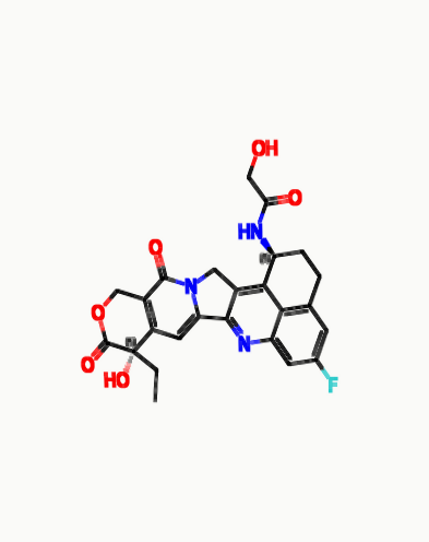 CC[C@@]1(O)C(=O)OCc2c1cc1n(c2=O)Cc2c-1nc1cc(F)cc3c1c2[C@@H](NC(=O)CO)CC3